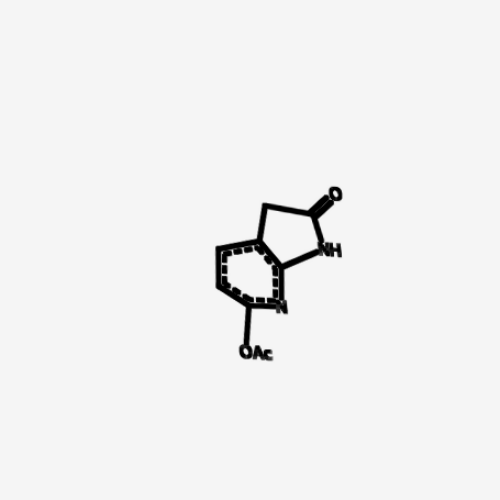 CC(=O)Oc1ccc2c(n1)NC(=O)C2